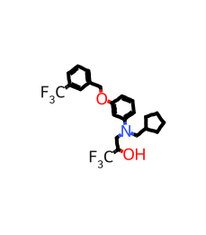 OC(CN(CC1CCCC1)c1cccc(OCc2cccc(C(F)(F)F)c2)c1)C(F)(F)F